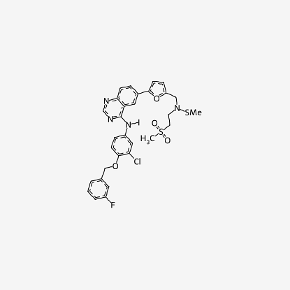 CSN(CCS(C)(=O)=O)Cc1ccc(-c2ccc3ncnc(N(I)c4ccc(OCc5cccc(F)c5)c(Cl)c4)c3c2)o1